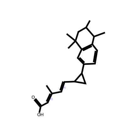 CC(/C=C/C1CC1c1ccc2c(c1)C(C)(C)CC(C)C2C)=C\C(=O)O